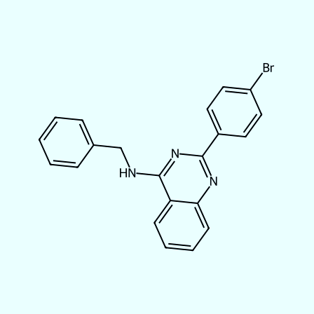 Brc1ccc(-c2nc(NCc3ccccc3)c3ccccc3n2)cc1